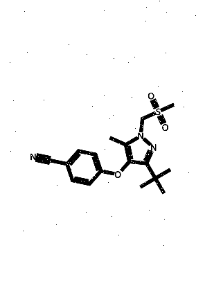 Cc1c(Oc2ccc(C#N)cc2)c(C(C)(C)C)nn1CS(C)(=O)=O